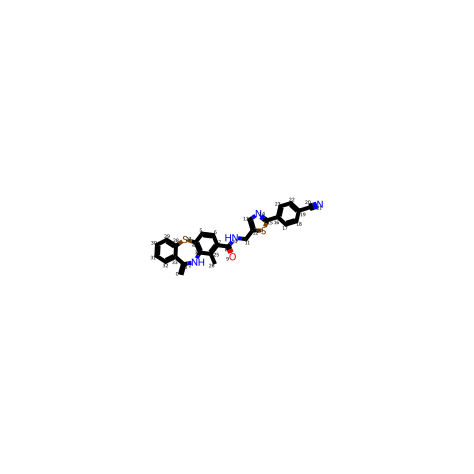 C=C1Nc2c(ccc(C(=O)NCc3cnc(-c4ccc(C#N)cc4)s3)c2C)Sc2ccccc21